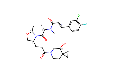 C[C@@H]1OC[C@H](CCC(=O)N2CCC3(CC3)[C@H](O)C2)N1C(=O)[C@H](C)N(C)C(=O)/C=C/c1ccc(F)c(Cl)c1